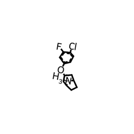 CN1C2CCC1CC(Oc1ccc(Cl)c(F)c1)C2